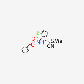 CSC(C#N)CCC(CF)(NC(=O)OCc1ccccc1)c1ccccc1F